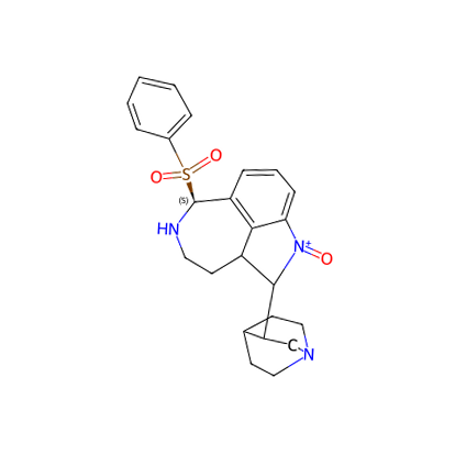 O=[N+]1c2cccc3c2C(CCN[C@H]3S(=O)(=O)c2ccccc2)C1C1CN2CCC1CC2